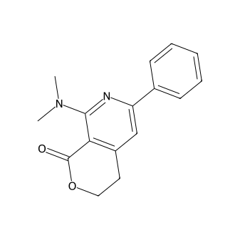 CN(C)c1nc(-c2ccccc2)cc2c1C(=O)OCC2